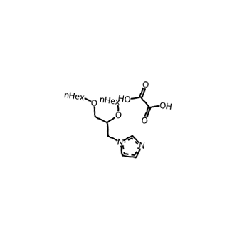 CCCCCCOCC(Cn1ccnc1)OCCCCCC.O=C(O)C(=O)O